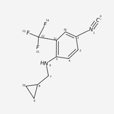 [C-]#[N+]c1ccc(NCC2CC2)c(C(F)(F)F)c1